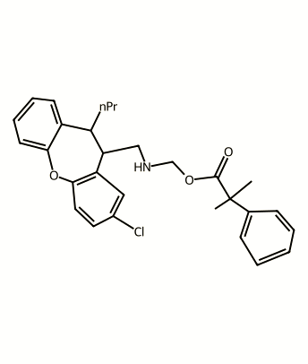 CCCC1c2ccccc2Oc2ccc(Cl)cc2C1CNCOC(=O)C(C)(C)c1ccccc1